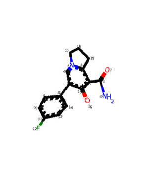 NC(=O)c1c2n(cc(-c3ccc(F)cc3)c1=O)CCC2